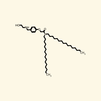 CCCCCCCCCCCCCCCCN(CCCCCCCCCCCCCCCC)C(=O)COc1ccc(CNCCO)cc1